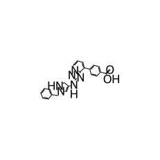 O=C(O)c1ccc(-c2cccn3nc(NC4=CN(Cc5ccccc5)NC4)nc23)cc1